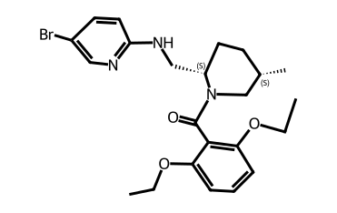 CCOc1cccc(OCC)c1C(=O)N1C[C@@H](C)CC[C@H]1CNc1ccc(Br)cn1